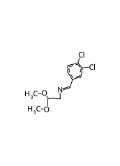 COC(C/N=C/c1ccc(Cl)c(Cl)c1)OC